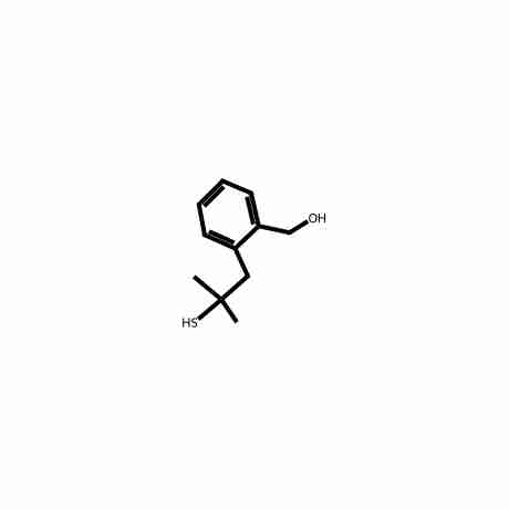 CC(C)(S)Cc1ccccc1CO